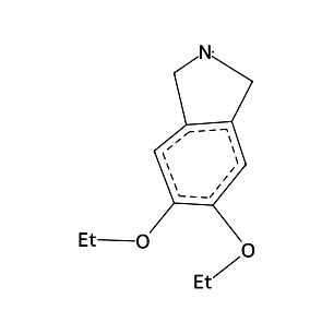 CCOc1cc2c(cc1OCC)C[N]C2